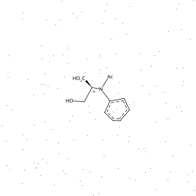 CC(=O)N(c1ccccc1)[C@@H](CO)C(=O)O